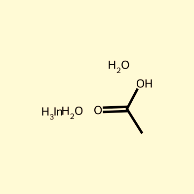 CC(=O)O.O.O.[InH3]